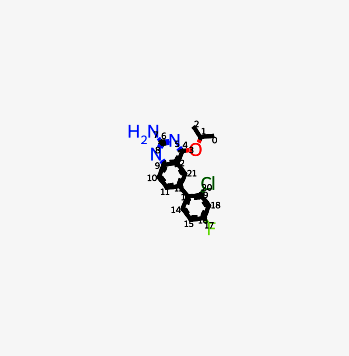 CC(C)Oc1nc(N)nc2ccc(-c3ccc(F)cc3Cl)cc12